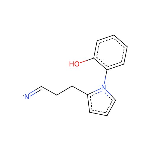 [N]=CCCc1cccn1-c1ccccc1O